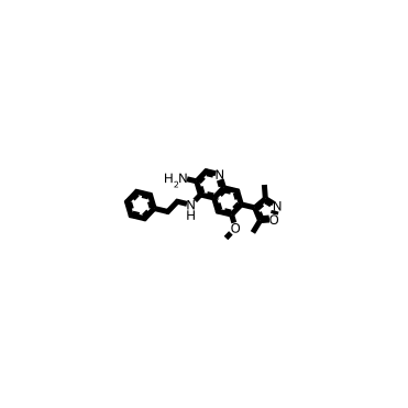 COc1cc2c(NCCc3ccccc3)c(N)cnc2cc1-c1c(C)noc1C